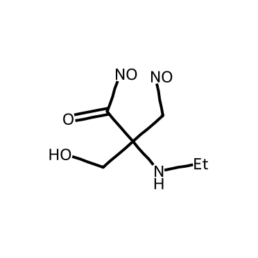 CCNC(CO)(CN=O)C(=O)N=O